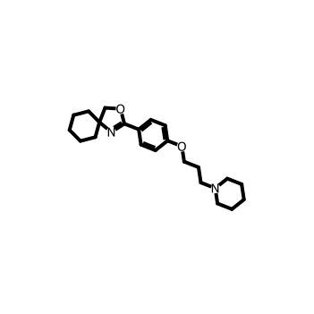 c1cc(C2=NC3(CCCCC3)CO2)ccc1OCCCN1CCCCC1